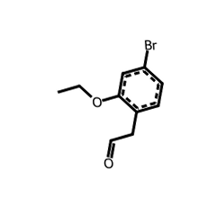 CCOc1cc(Br)ccc1CC=O